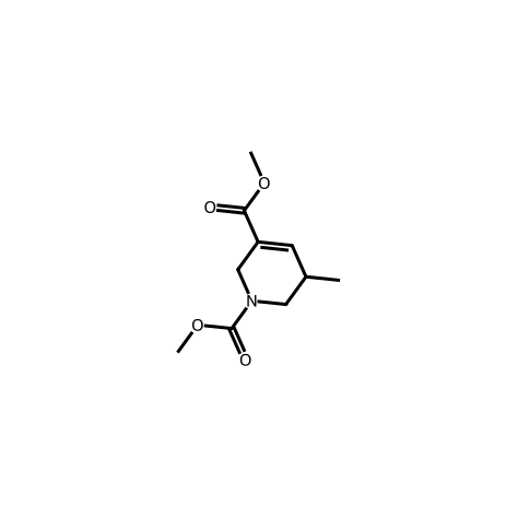 COC(=O)C1=CC(C)CN(C(=O)OC)C1